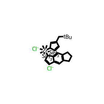 CC(C)(C)CC1=C[CH]([Zr]([CH3])([CH3])([CH3])([CH3])([SiH3])([SiH3])[CH]2C=Cc3cc4c(cc32)CCC4)C=C1.[Cl-].[Cl-]